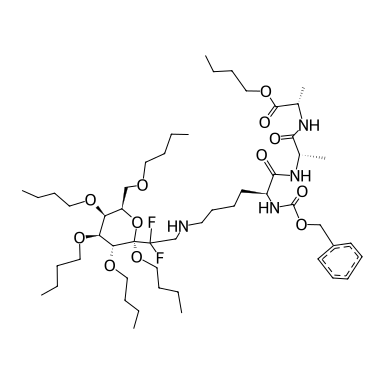 CCCCOC[C@H]1O[C@@](OCCCC)(C(F)(F)CNCCCC[C@H](NC(=O)OCc2ccccc2)C(=O)N[C@@H](C)C(=O)N[C@@H](C)C(=O)OCCCC)[C@H](OCCCC)[C@@H](OCCCC)[C@H]1OCCCC